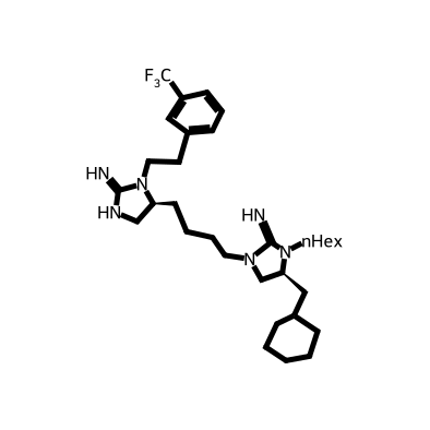 CCCCCCN1C(=N)N(CCCC[C@H]2CNC(=N)N2CCc2cccc(C(F)(F)F)c2)C[C@@H]1CC1CCCCC1